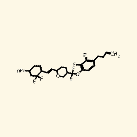 C=CCCc1ccc(OC(F)(F)C2CCC(/C=C/C3CCC(CCC)CC3(F)F)OC2)c(F)c1F